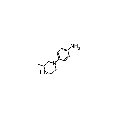 CC1CN(c2ccc(N)cc2)CCN1